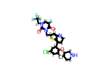 Cc1cc(Cl)cc(-c2ccnc3cc(Cn4c(=O)c(F)cn(CC(F)(F)F)c4=O)sc23)c1O[C@H]1CCCNC1